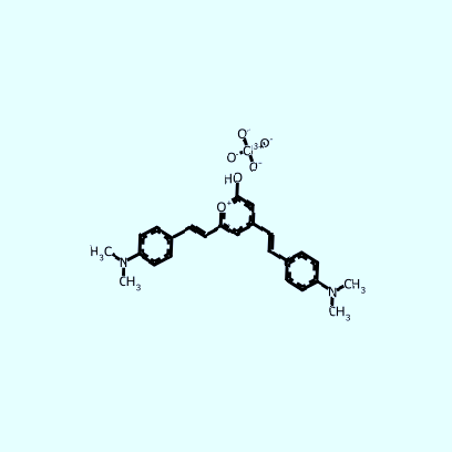 CN(C)c1ccc(/C=C/c2cc(O)[o+]c(/C=C/c3ccc(N(C)C)cc3)c2)cc1.[O-][Cl+3]([O-])([O-])[O-]